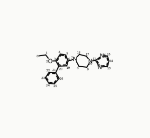 CCOc1ccc(N2CCN(c3ncccn3)CC2)cc1-c1ccccc1